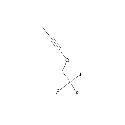 CC#COCC(F)(F)F